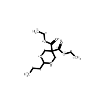 CCCC1OCC(C(=O)OCC)(C(=O)OCC)CO1